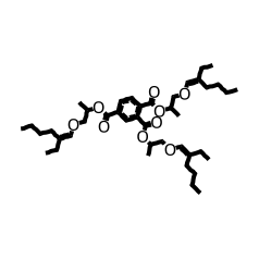 CCCCC(=COCC(C)OC(=O)c1ccc(C(=O)OC(C)COC=C(CC)CCCC)c(C(=O)OC(C)COC=C(CC)CCCC)c1)CC